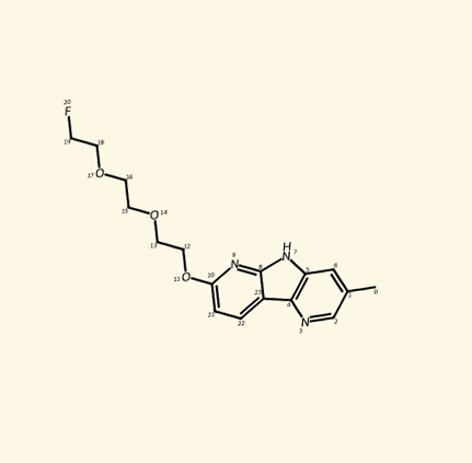 Cc1cnc2c(c1)[nH]c1nc(OCCOCCOCCF)ccc12